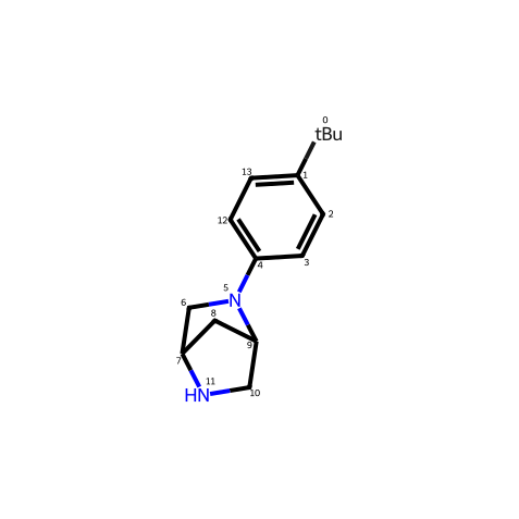 CC(C)(C)c1ccc(N2CC3CC2CN3)cc1